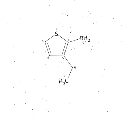 Bc1sccc1CC